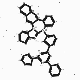 c1ccc(-c2cc(-c3cccc(N4c5ccccc5-c5cc6ccccc6cc5-n5c4nc4ccccc45)c3)nc(-c3ccccc3)n2)cc1